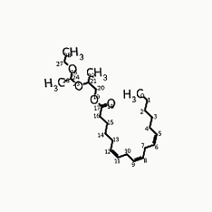 CCCCC/C=C\C/C=C\C/C=C\CCCCC(=O)OCC(C)O[C@@H](C)OCC